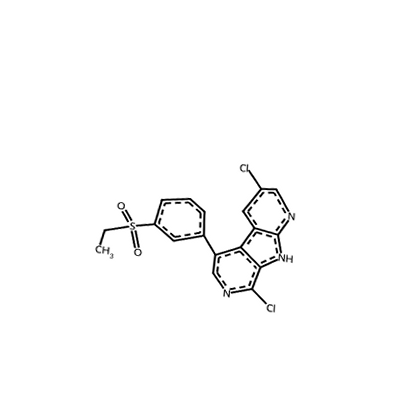 CCS(=O)(=O)c1cccc(-c2cnc(Cl)c3[nH]c4ncc(Cl)cc4c23)c1